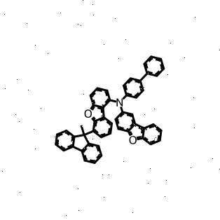 CC1(c2cccc3c2oc2cccc(N(c4ccc(-c5ccccc5)cc4)c4ccc5oc6ccccc6c5c4)c23)c2ccccc2-c2ccccc21